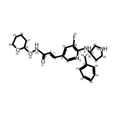 O=C(/C=C/c1cnc(N[C@]2(Cc3ccccc3)CCNC2)c(F)c1)NOC1CCCCO1